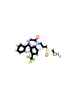 CC[S+]([O-])CCCN1C(=O)CN=C(c2ccccc2)c2cc(C(F)(F)F)ccc21